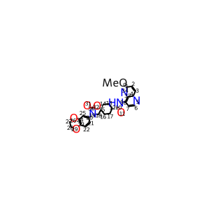 COc1ccc2nccc(NC(=O)[C@H]3CC[C@@]4(CC3)CN(c3ccc5c(c3)OCCO5)C(=O)O4)c2n1